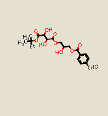 CCC(C)(C)OC(=O)C(O)C(O)C(=O)OCC(O)COC(=O)c1ccc(C=O)cc1